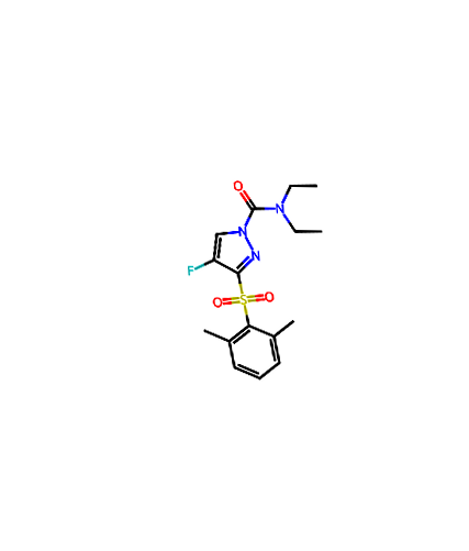 CCN(CC)C(=O)n1cc(F)c(S(=O)(=O)c2c(C)cccc2C)n1